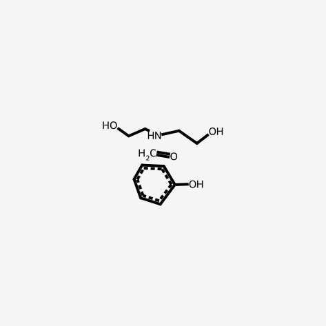 C=O.OCCNCCO.Oc1ccccc1